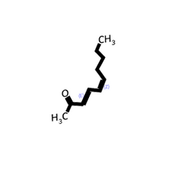 CCCC/C=C\C=C\C(C)=O